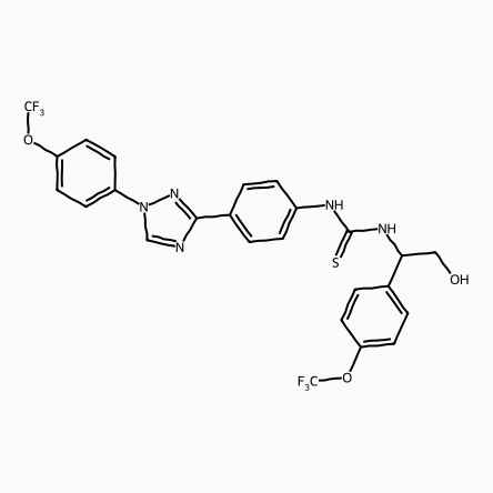 OCC(NC(=S)Nc1ccc(-c2ncn(-c3ccc(OC(F)(F)F)cc3)n2)cc1)c1ccc(OC(F)(F)F)cc1